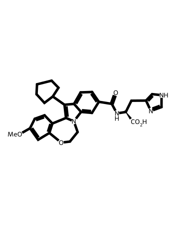 COc1ccc2c(c1)OCCn1c-2c(C2CCCCC2)c2ccc(C(=O)N[C@@H](Cc3c[nH]cn3)C(=O)O)cc21